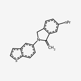 C=C1c2cc(CCC)ccc2CN1c1ccc2sccc2c1